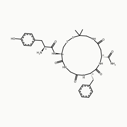 CC1(C)CNC(=O)C[C@H](C(N)=O)NC(=O)[C@H](Cc2ccccc2)NC(=O)CNC(=O)[C@@H](NC(=O)[C@@H](N)Cc2ccc(O)cc2)CSS1